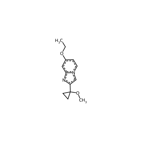 CCOc1ccn2cc(C3(OC)CC3)nc2c1